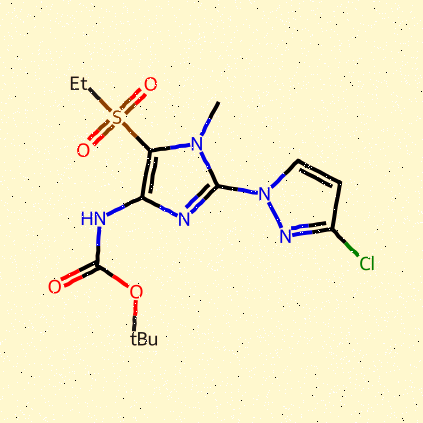 CCS(=O)(=O)c1c(NC(=O)OC(C)(C)C)nc(-n2ccc(Cl)n2)n1C